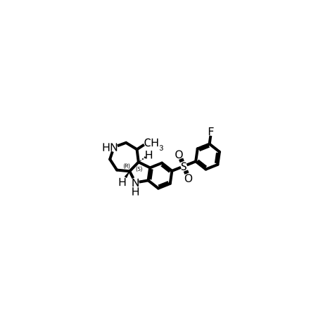 CC1CNCC[C@H]2Nc3ccc(S(=O)(=O)c4cccc(F)c4)cc3[C@H]12